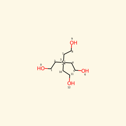 OCC[Si](CCO)(CCO)CCO